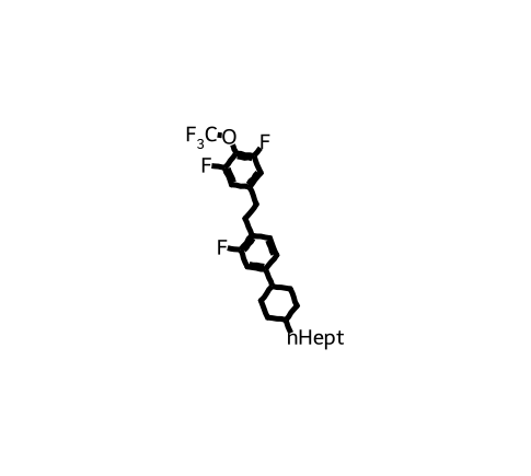 CCCCCCCC1CCC(c2ccc(CCc3cc(F)c(OC(F)(F)F)c(F)c3)c(F)c2)CC1